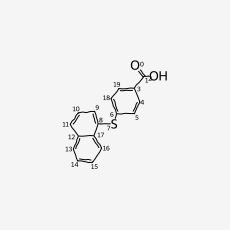 O=C(O)c1ccc(Sc2cccc3ccccc23)cc1